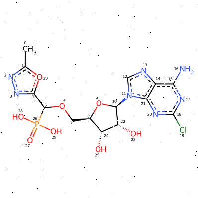 Cc1nnc(C(OC[C@H]2O[C@@H](n3cnc4c(N)nc(Cl)nc43)[C@H](O)[C@@H]2O)P(=O)(O)O)o1